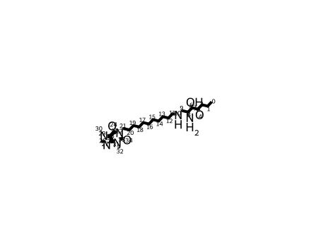 CCCC(=O)[C@@H](O)C(N)CNCCCCCCCCCCCn1c(=O)c2c(ncn2C)n(C)c1=O